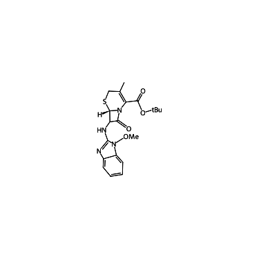 COn1c(NC2C(=O)N3C(C(=O)OC(C)(C)C)=C(C)CS[C@@H]23)nc2ccccc21